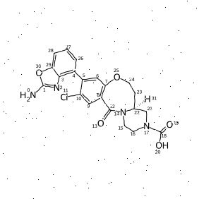 Nc1nc2c(-c3cc4c(cc3Cl)C(=O)N3CCN(C(=O)O)C[C@@H]3CCO4)cccc2o1